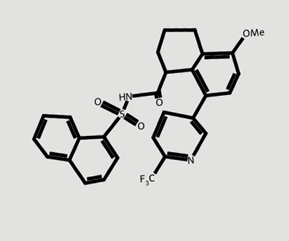 COc1ccc(-c2ccc(C(F)(F)F)nc2)c2c1CCCC2C(=O)NS(=O)(=O)c1cccc2ccccc12